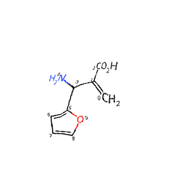 C=C(C(=O)O)C(N)c1ccco1